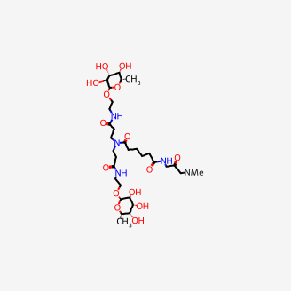 CNCC(=O)CNC(=O)CCCCC(=O)N(CCC(=O)NCCO[C@@H]1O[C@@H](C)[C@@H](O)[C@@H](O)[C@@H]1O)CCC(=O)NCCO[C@@H]1O[C@@H](C)[C@@H](O)[C@@H](O)[C@@H]1O